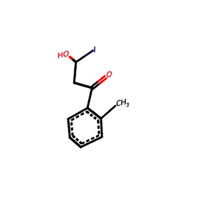 Cc1ccccc1C(=O)CC(O)I